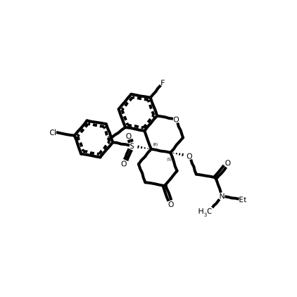 CCN(C)C(=O)CO[C@@]12COc3c(F)ccc(F)c3[C@]1(S(=O)(=O)c1ccc(Cl)cc1)CCC(=O)C2